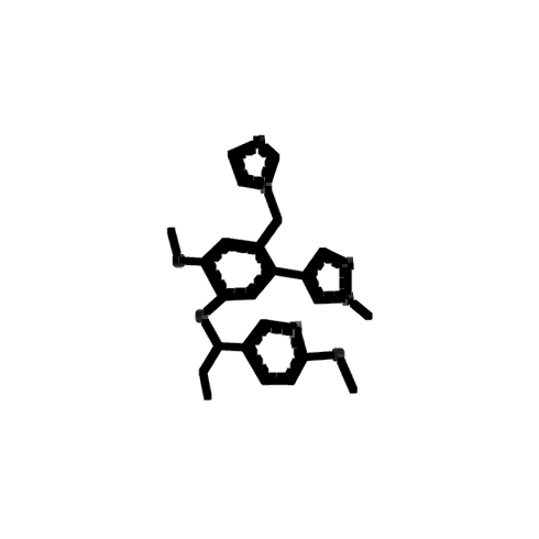 CCC(Oc1cc(-c2cnn(C)c2)c(Cn2ccnc2)cc1OC)c1ccc(OC)nc1